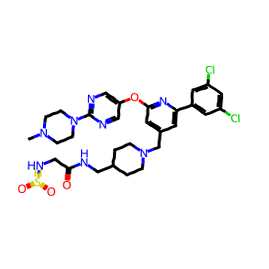 CN1CCN(c2ncc(Oc3cc(CN4CCC(CNC(=O)CN[SH](=O)=O)CC4)cc(-c4cc(Cl)cc(Cl)c4)n3)cn2)CC1